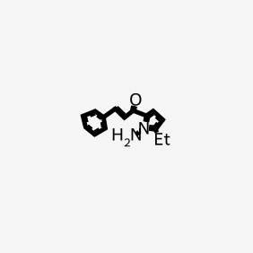 CCc1ccc(C(=O)/C=C/c2ccccc2)n1N